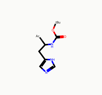 CC(=O)C(Cc1cnc[nH]1)NC(=O)OC(C)(C)C